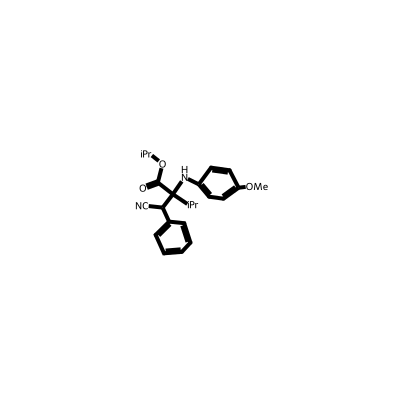 COc1ccc(NC(C(=O)OC(C)C)(C(C)C)C(C#N)c2ccccc2)cc1